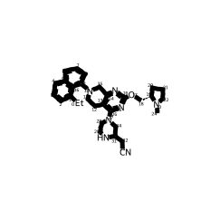 CCc1cccc2cccc(N3CCc4c(nc(OC[C@@H]5CCCN5C)nc4N4CCNC(CC#N)C4)C3)c12